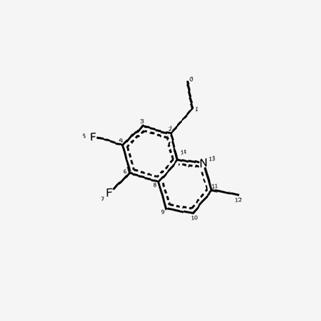 CCc1cc(F)c(F)c2ccc(C)nc12